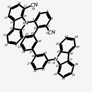 N#Cc1cccc(-n2c3ccccc3c3cccc(C#N)c32)c1-c1cccc(-c2cccc(-n3c4ccccc4c4ccccc43)c2)c1